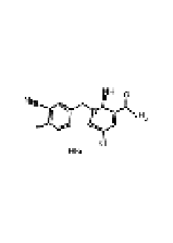 Br.N#Cc1cc(Cn2cc(Cl)cc(C(N)=O)c2=N)ccc1F